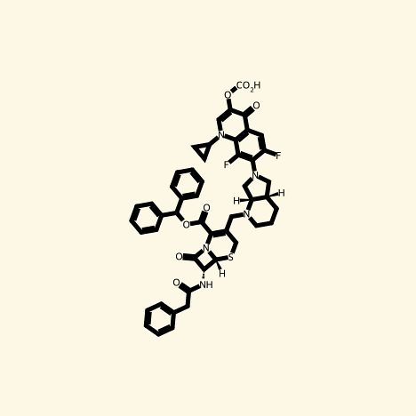 O=C(Cc1ccccc1)N[C@@H]1C(=O)N2C(C(=O)OC(c3ccccc3)c3ccccc3)=C(CN3CCC[C@H]4CN(c5c(F)cc6c(=O)c(OC(=O)O)cn(C7CC7)c6c5F)C[C@H]43)CS[C@H]12